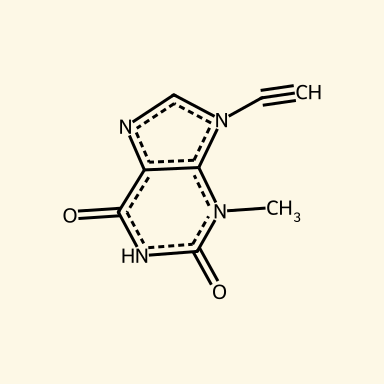 C#Cn1cnc2c(=O)[nH]c(=O)n(C)c21